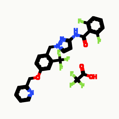 O=C(Nc1ccn(Cc2ccc(OCc3ccccn3)cc2C(F)(F)F)n1)c1c(F)cccc1F.O=C(O)C(F)(F)F